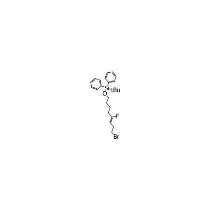 CC(C)(C)[Si](OCCCC/C(F)=C/CCBr)(c1ccccc1)c1ccccc1